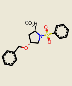 O=C(O)[C@@H]1C[C@@H](OCc2ccccc2)CN1S(=O)(=O)c1cc[c]cc1